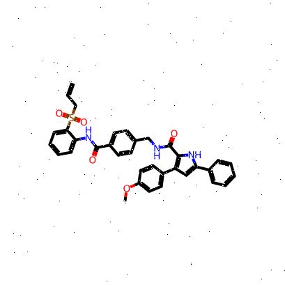 C=CCS(=O)(=O)c1ccccc1NC(=O)c1ccc(CNC(=O)c2[nH]c(-c3ccccc3)cc2-c2ccc(OC)cc2)cc1